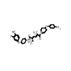 C=N/C(=C\C=C(/C)C(=O)N1CCC(Oc2ccc(C(F)(F)F)cc2)CC1)C(=O)N[C@H]1CC[C@@H](Oc2ccc(C#N)c(F)c2)CC1